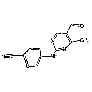 Cc1nc(Nc2ccc(C#N)cc2)ncc1C=O